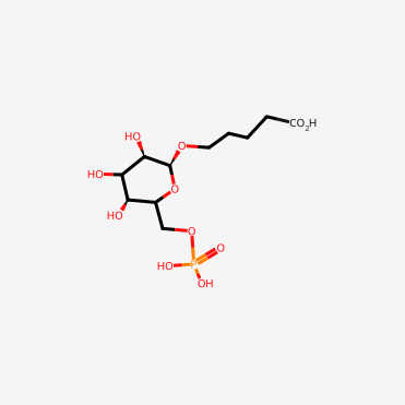 O=C(O)CCCCO[C@H]1OC(COP(=O)(O)O)[C@@H](O)C(O)[C@H]1O